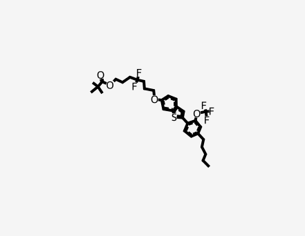 CCCCCc1ccc(-c2cc3ccc(OCCCC(F)(F)CCCOC(=O)C(C)(C)C)cc3s2)c(OC(F)(F)F)c1